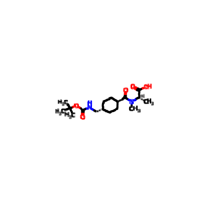 C[C@@H](C(=O)O)N(C)C(=O)[C@H]1CC[C@H](CNC(=O)OC(C)(C)C)CC1